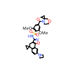 COc1cc(C(=O)N2CCOCC23CC3)cc(OC)c1S(=O)(=O)Nc1noc2c1CC1(CC1)c1ccc(N3CCC3)cc1-2